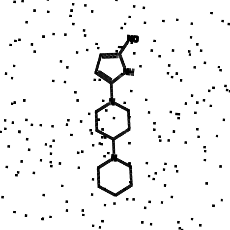 O=Nc1ccc(N2CCC(N3CCCCC3)CC2)[nH]1